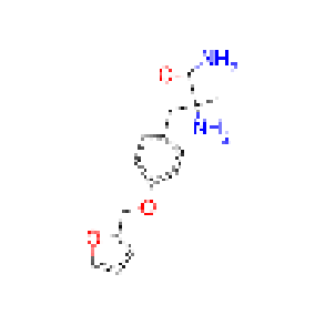 CC(N)(Cc1ccc(OCc2ccco2)cc1)C(N)=O